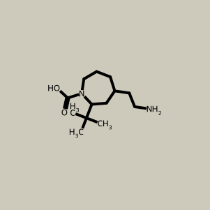 CC(C)(C)C1CC(CCN)CCCN1C(=O)O